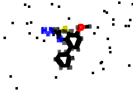 COc1ccc(-c2ccccc2)c2nc(N)sc12